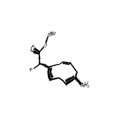 CC(C)(C)OC(=O)C(F)c1ccc(N)cc1